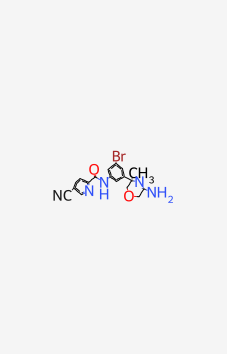 C[C@@]1(c2cc(Br)cc(NC(=O)c3ccc(C#N)cn3)c2)COCC(N)=N1